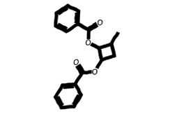 CC1CC(OC(=O)c2ccccc2)C1OC(=O)c1ccccc1